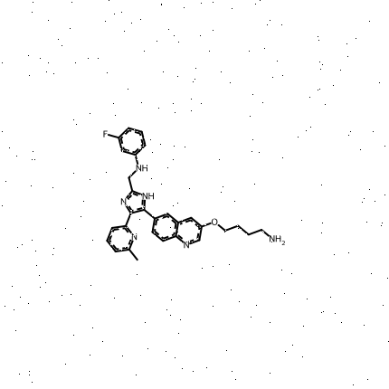 Cc1cccc(-c2nc(CNc3cccc(F)c3)[nH]c2-c2ccc3ncc(OCCCCN)cc3c2)n1